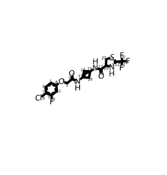 O=C(COc1ccc(Cl)c(F)c1)NC12CC(NC(=O)C3CSC(C(F)(F)F)N3)(C1)C2